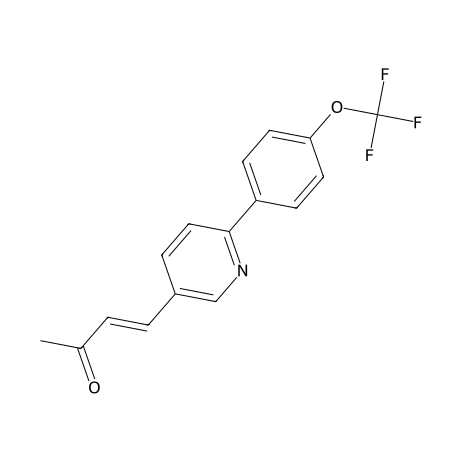 CC(=O)/C=C/c1ccc(-c2ccc(OC(F)(F)F)cc2)nc1